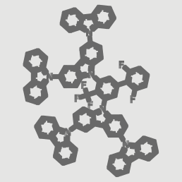 Fc1cccc(F)c1-c1cc(-n2c3ccc(-n4c5ccccc5c5ccccc54)cc3c3cc(-n4c5ccccc5c5ccccc54)ccc32)c(C(F)(F)F)c(-n2c3ccc(-n4c5ccccc5c5ccccc54)cc3c3cc(-n4c5ccccc5c5ccccc54)ccc32)c1